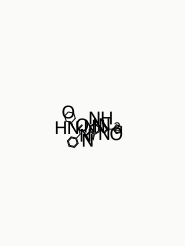 Nc1nc2c(cnn2C(C(=O)NC2CCOCC2)c2ccccc2)c2nc(-c3ccco3)nn12